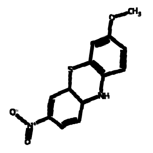 COc1ccc2c(c1)SC1C=C([N+](=O)[O-])C=CC1N2